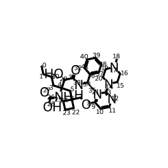 CCCCC(CC1(COc2ccnc(N3CCN(C)CC3)n2)CCC1)(NC(=O)O)C(O)C(=O)N[C@H](C)c1ccccc1